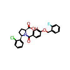 O=C(O)[C@@H]1CC[C@H](c2ccccc2Cl)N1C(=O)c1ccc(OCc2ccccc2F)cc1